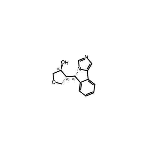 O[C@@H]1COC[C@H]1[C@H]1c2ccccc2-c2cncn21